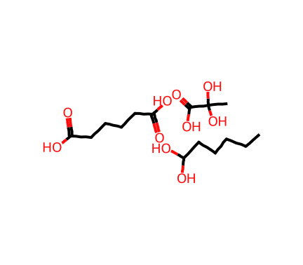 CC(O)(O)C(=O)O.CCCCCC(O)O.O=C(O)CCCCC(=O)O